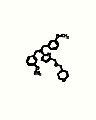 COc1cccc(CN(Cc2cccc(OC)c2)c2nc(COCC3CCOCC3)cs2)c1